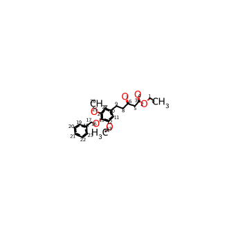 CCOC(=O)CC(=O)CCc1cc(OC)c(OCc2ccccc2)c(OC)c1